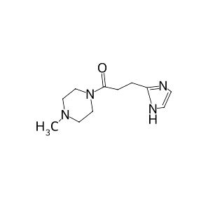 CN1CCN(C(=O)CCc2ncc[nH]2)CC1